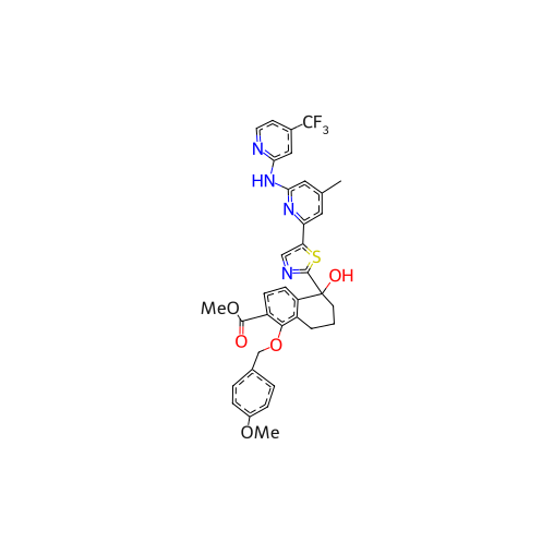 COC(=O)c1ccc2c(c1OCc1ccc(OC)cc1)CCCC2(O)c1ncc(-c2cc(C)cc(Nc3cc(C(F)(F)F)ccn3)n2)s1